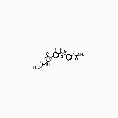 CCC(=O)N[C@@H]1CN(c2ccc(NS(=O)(=O)c3cccc(NC(C)=O)c3)c(F)c2)C(=O)O1